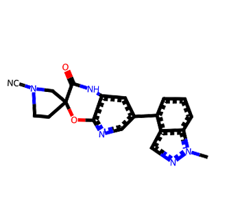 Cn1ncc2c(-c3cnc4c(c3)NC(=O)C3(CCN(C#N)C3)O4)cccc21